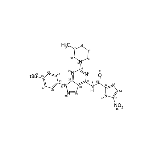 CC1CCCN(c2nc(NC(=O)c3ccc([N+](=O)[O-])s3)c3cnn(-c4ccc(C(C)(C)C)cc4)c3n2)C1